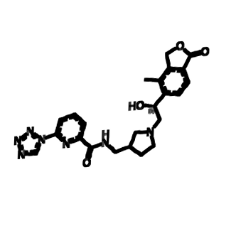 Cc1c([C@H](O)CN2CCC(CNC(=O)c3cccc(-n4cnnn4)n3)C2)ccc2c1COC2=O